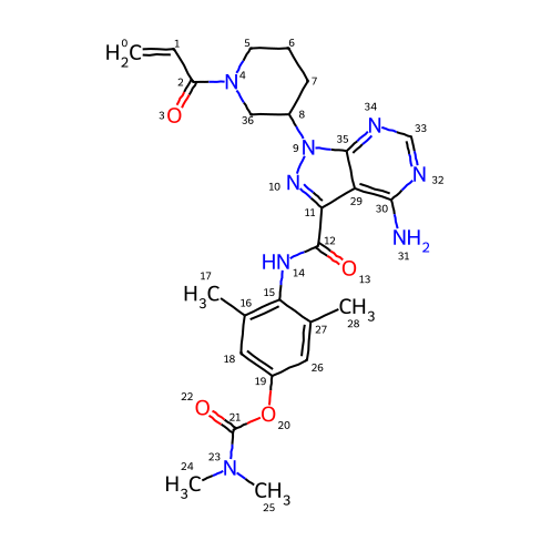 C=CC(=O)N1CCCC(n2nc(C(=O)Nc3c(C)cc(OC(=O)N(C)C)cc3C)c3c(N)ncnc32)C1